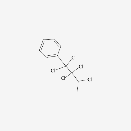 CC(Cl)C(Cl)(Cl)C(Cl)(Cl)c1ccccc1